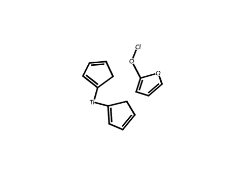 C1=CC[C]([Ti][C]2=CC=CC2)=C1.ClOc1ccco1